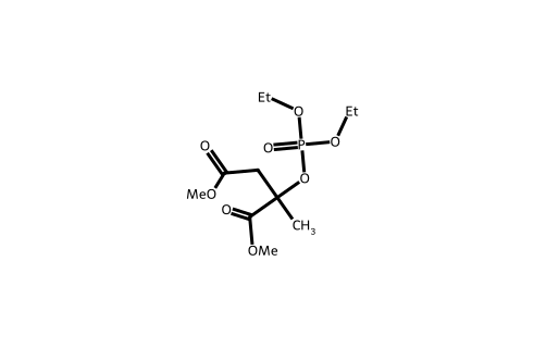 CCOP(=O)(OCC)OC(C)(CC(=O)OC)C(=O)OC